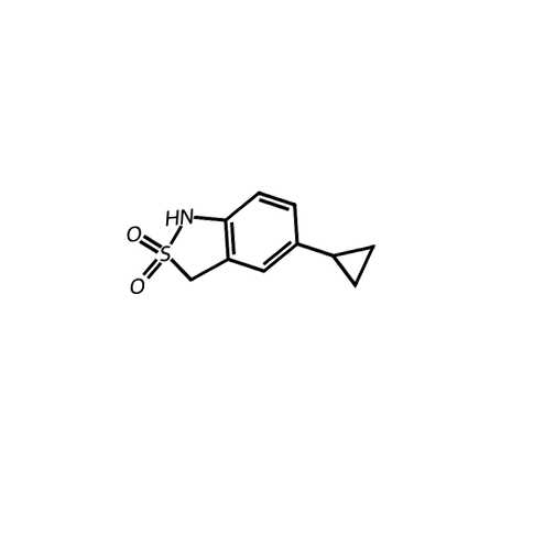 O=S1(=O)Cc2cc(C3CC3)ccc2N1